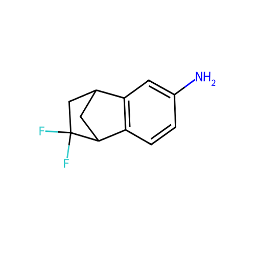 Nc1ccc2c(c1)C1CC2C(F)(F)C1